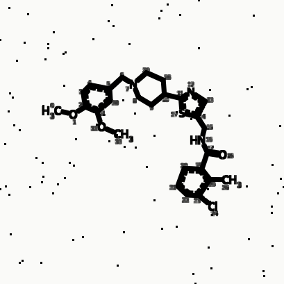 COc1ccc(CN2CCC(c3ncc(CNC(=O)c4cccc(Cl)c4C)s3)CC2)cc1OC